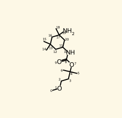 COCCC(C)(C)OC(=O)NC1CC(C)(C)CC(C)(N)C1